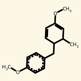 COC1=CC(C)C(Cc2ccc(OC)cc2)C=C1